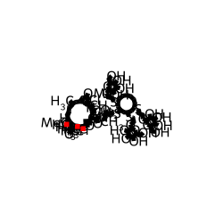 COc1cc2cc(c1Cl)N(C)C(=O)C[C@@]1(OC(=O)[C@H](C)N(C)C(=O)CCSC3CC(SCCOC4OC(CO)C(O)C(O)C4O)CCCCCCC(SCCOC4OC(CO)C(O)C(O)C4O)CC(SCCOC4OC(CO)C(O)C(O)C4O)C3)CC(C)(O1)[C@@H](C)[C@@]1(C)C[C@@](O)(NC(=O)O1)[C@@H](OC)/C=C/C=C(/C)C2